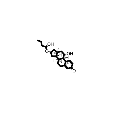 CCCC(O)O[C@@H]1C[C@H]2[C@@H]3CCC4=CC(=O)C=C[C@]4(C)[C@H]3[C@@H](O)C[C@]2(C)C1